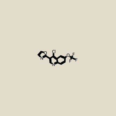 FC(F)(F)Oc1ccc2ncc(-c3ncco3)c(Cl)c2c1